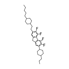 CCCCCC1CCC(CCc2cc3c(c(F)c2F)-c2c(cc(C4CCC(CCC)CC4)c(F)c2F)C3)CC1